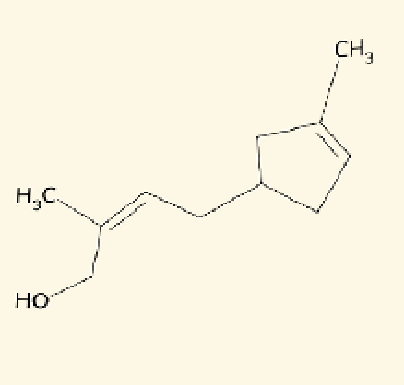 CC(=CCC1CC=C(C)C1)CO